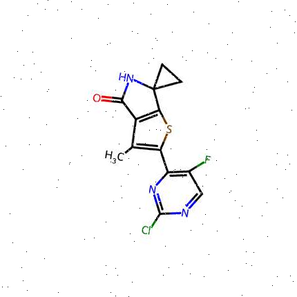 Cc1c(-c2nc(Cl)ncc2F)sc2c1C(=O)NC21CC1